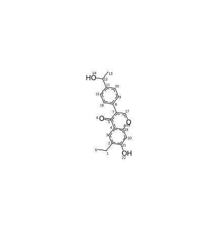 CCc1cc2c(=O)c(-c3ccc(C(C)O)cc3)coc2cc1O